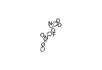 COc1cc2nccc(Oc3ccc(N4C[C@H](COc5ccccc5)CC4=O)cc3F)c2cc1OC